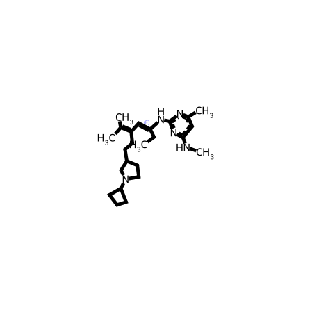 CC/C(=C\C(CCC1CCN(C2CCC2)C1)=C(C)C)Nc1nc(C)cc(NC)n1